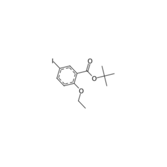 CCOc1ccc(I)cc1C(=O)OC(C)(C)C